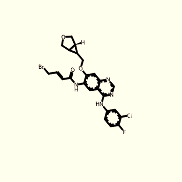 O=C(C=CCBr)Nc1cc2c(Nc3ccc(F)c(Cl)c3)ncnc2cc1OCC1C2COC[C@@H]21